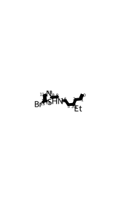 C=CCC(CC)CCNCc1ncc(Br)s1